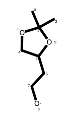 CC1(C)OCC(CC[O])O1